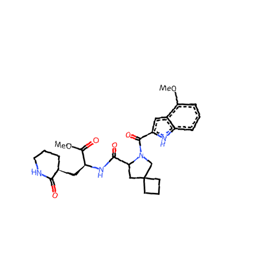 COC(=O)[C@H](C[C@@H]1CCCNC1=O)NC(=O)C1CC2(CCC2)CN1C(=O)c1cc2c(OC)cccc2[nH]1